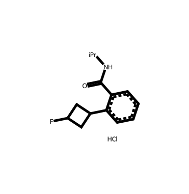 CC(C)NC(=O)c1ccccc1C1CC(F)C1.Cl